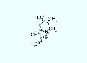 C=CC(=C)Cc1c(Cl)c(OC)nn1C